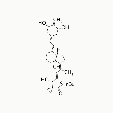 C=C1[C@H](O)CC(=C/C=C2\CCC[C@]3(C)[C@@H]([C@H](C)/C=C/[C@@H](O)C4(C(=O)SCCCC)CC4)CC[C@@H]23)C[C@H]1O